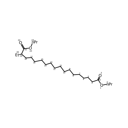 CCCOC(=O)CCCCCCCCCCCCCCCC(CC)C(=O)OCCC